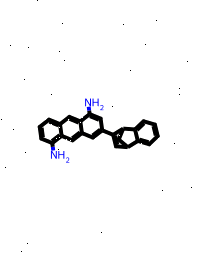 Nc1cccc2cc3c(N)cc(C4=CC5CC4c4ccccc45)cc3cc12